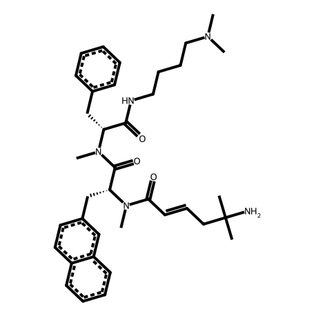 CN(C)CCCCNC(=O)[C@@H](Cc1ccccc1)N(C)C(=O)[C@@H](Cc1ccc2ccccc2c1)N(C)C(=O)C=CCC(C)(C)N